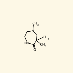 CN1CCNC(=O)C(C)(C)C1